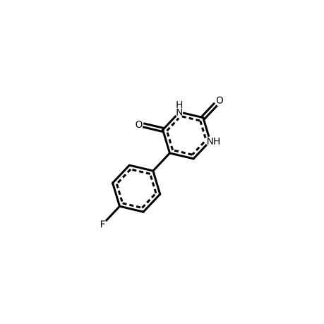 O=c1[nH]cc(-c2ccc(F)cc2)c(=O)[nH]1